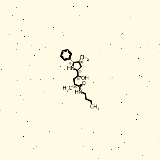 CCCCNC(=O)[C@H](C)C[C@H](O)[C@@H]1C[C@@H](C)[C@@H](c2ccccc2)N1